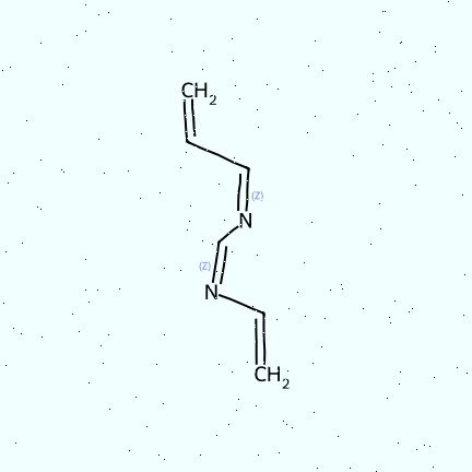 C=C/C=N\C=N/C=C